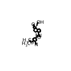 CC(C)Oc1ccc(-c2nc(-c3cccc4c3CCC3CC(=O)N(CCO)C43)no2)cc1C#N